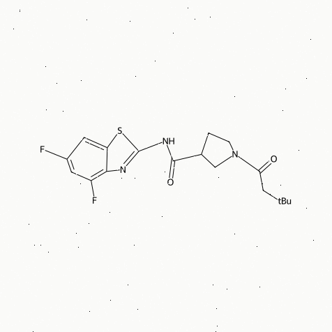 CC(C)(C)CC(=O)N1CCC(C(=O)Nc2nc3c(F)cc(F)cc3s2)C1